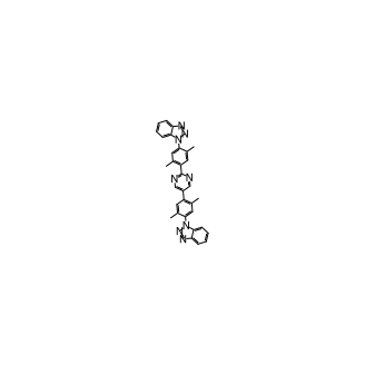 Cc1cc(-n2nnc3ccccc32)c(C)cc1-c1cnc(-c2cc(C)c(-n3nnc4ccccc43)cc2C)nc1